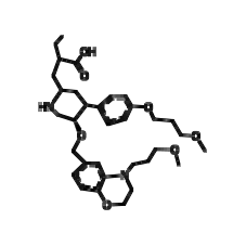 CCC(CC1CC(c2ccc(OCCCOC)cc2)[C@@H](OCc2ccc3c(c2)N(CCCOC)CCO3)CN1)C(=O)O